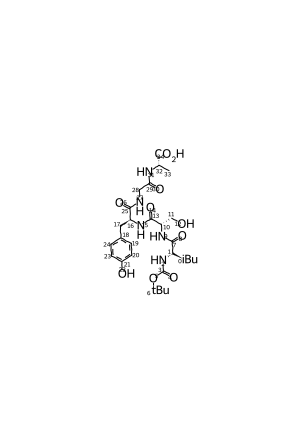 CC[C@H](C)[C@H](NC(=O)OC(C)(C)C)C(=O)N[C@@H](CO)C(=O)N[C@@H](Cc1ccc(O)cc1)C(=O)NCC(=O)N[C@@H](C)C(=O)O